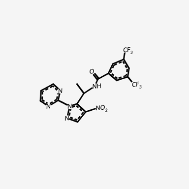 CC(NC(=O)c1cc(C(F)(F)F)cc(C(F)(F)F)c1)c1c([N+](=O)[O-])cnn1-c1ncccn1